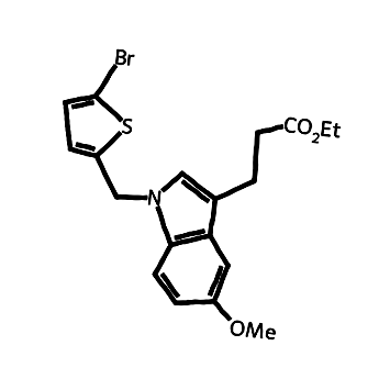 CCOC(=O)CCc1cn(Cc2ccc(Br)s2)c2ccc(OC)cc12